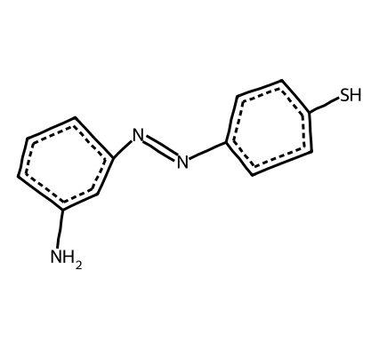 Nc1cccc(N=Nc2ccc(S)cc2)c1